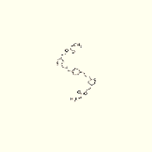 C=CC(=O)OCCC1CSC(CSCc2ccc(CSCC3SCC(CCOC(=O)C=C)S3)cc2)S1